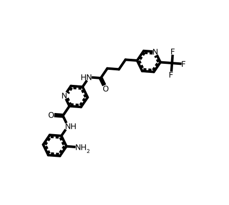 Nc1ccccc1NC(=O)c1ccc(NC(=O)CCCc2ccc(C(F)(F)F)nc2)cn1